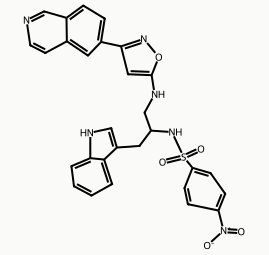 O=[N+]([O-])c1ccc(S(=O)(=O)NC(CNc2cc(-c3ccc4cnccc4c3)no2)Cc2c[nH]c3ccccc23)cc1